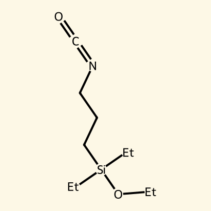 CCO[Si](CC)(CC)CCCN=C=O